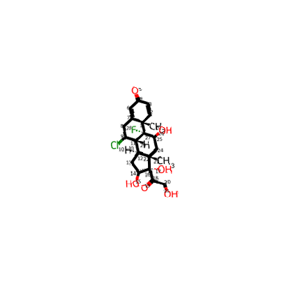 C[C@]12C=CC(=O)C=C1CC(Cl)[C@H]1[C@@H]3CC(O)[C@](O)(C(=O)CO)[C@@]3(C)CC(O)[C@@]12F